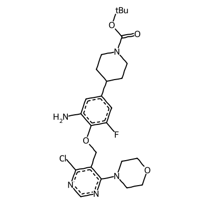 CC(C)(C)OC(=O)N1CCC(c2cc(N)c(OCc3c(Cl)ncnc3N3CCOCC3)c(F)c2)CC1